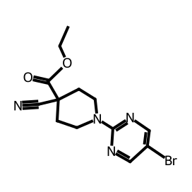 CCOC(=O)C1(C#N)CCN(c2ncc(Br)cn2)CC1